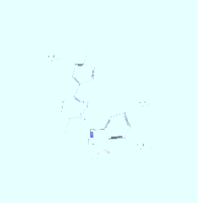 COc1cc(OC)c2c(c1)C(N1N=C(c3ccc(Cl)c(OC)c3)CCC1C)=NS2(=O)=O